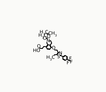 CCc1sc(-c2ccc(C(F)(F)F)cc2)nc1CCOc1ccc(CCC(=O)O)c2c1CCN(C(=O)OC(C)(C)C)C2